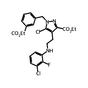 CCOC(=O)c1cccc(Cn2nc(C(=O)OCC)c(CCNc3cccc(Cl)c3F)c2Cl)c1